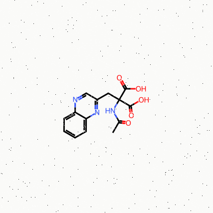 CC(=O)NC(Cc1cnc2ccccc2n1)(C(=O)O)C(=O)O